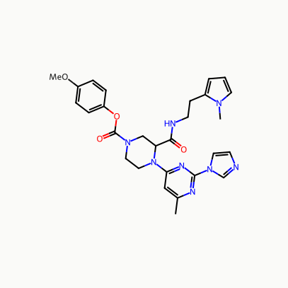 COc1ccc(OC(=O)N2CCN(c3cc(C)nc(-n4ccnc4)n3)C(C(=O)NCCc3cccn3C)C2)cc1